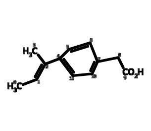 CC=C(C)c1ccc(CC(=O)O)cc1